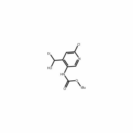 CCC(O)c1cc(Cl)ncc1NC(=O)OC(C)(C)C